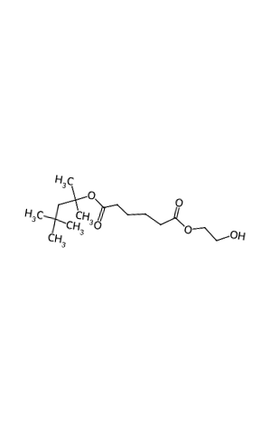 CC(C)(C)CC(C)(C)OC(=O)CCCCC(=O)OCCO